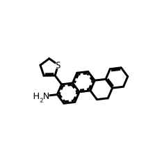 Nc1ccc2c3c(ccc2c1C1=CCCS1)C1=C(CCC=C1)CC3